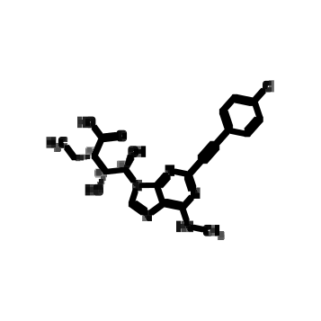 CC[C@H](C(=O)O)[C@@H](O)[C@@H](O)n1cnc2c(NC)nc(C#Cc3ccc(Cl)cc3)nc21